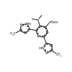 CCCCCc1cc(-c2cc(C(F)(F)F)n[nH]2)nc(-c2cc(C(F)(F)F)n[nH]2)c1N(C)C